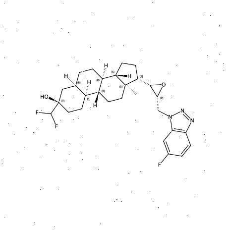 C[C@]12CC[C@H]3[C@@H](CC[C@@H]4C[C@@](O)(C(F)F)CC[C@@H]43)[C@@H]1CC[C@@H]2C1O[C@@H]1Cn1nnc2ccc(F)cc21